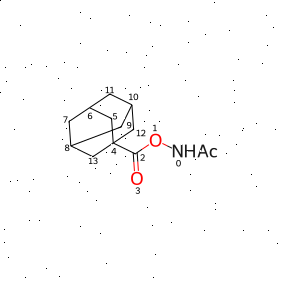 CC(=O)NOC(=O)C12CC3CC(CC(C3)C1)C2